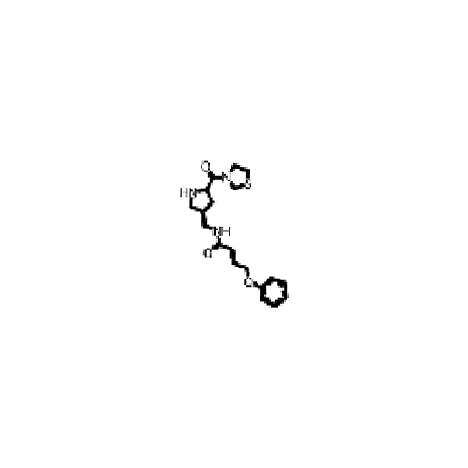 O=C(CCCOc1ccccc1)NCC1CNC(C(=O)N2CCSC2)C1